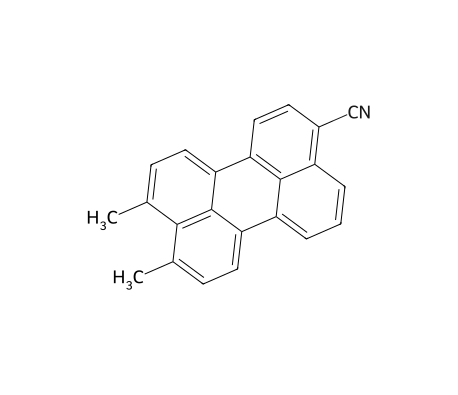 Cc1ccc2c3cccc4c(C#N)ccc(c5ccc(C)c1c25)c43